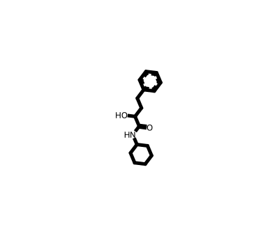 O=C(NC1CCCCC1)C(O)CCc1ccccc1